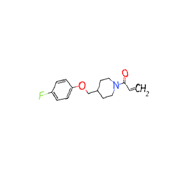 C=CC(=O)N1CCC(COc2ccc(F)cc2)CC1